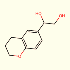 OCC(O)c1ccc2c(c1)CCCO2